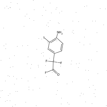 Nc1ccc(C(F)(F)C(=O)F)cc1I